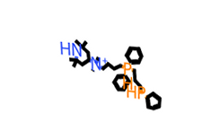 CC1(C)CC([N+](C)(C)CCCC[PH](CCCPc2ccccc2)(c2ccccc2)c2ccccc2)CC(C)(C)N1